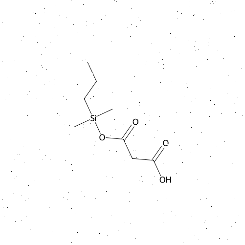 CCC[Si](C)(C)OC(=O)CC(=O)O